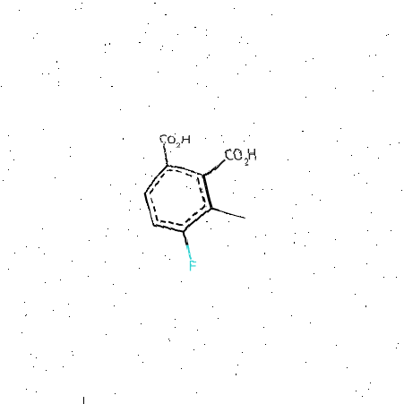 Cc1c(F)ccc(C(=O)O)c1C(=O)O